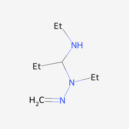 C=NN(CC)C(CC)NCC